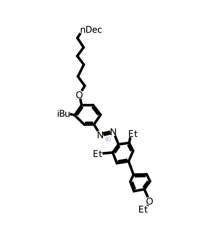 CCCCCCCCCCCCCCCCOc1ccc(/N=N/c2c(CC)cc(-c3ccc(OCC)cc3)cc2CC)cc1C(C)CC